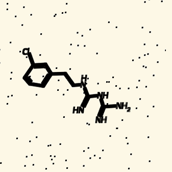 N=C(N)NC(=N)NCCc1cccc(Cl)c1